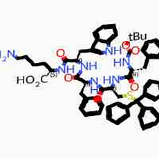 CC(C)(C)OC(=O)N[C@H](Cc1ccccc1)C(=O)N[C@@H](CSC(c1ccccc1)(c1ccccc1)c1ccccc1)C(=O)N[C@@H](Cc1ccccc1)C(=O)N[C@H](Cc1c[nH]c2ccccc12)C(=O)N[C@@H](CCCCN)C(=O)O